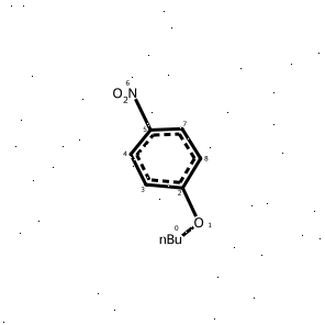 [CH2]CCCOc1ccc([N+](=O)[O-])cc1